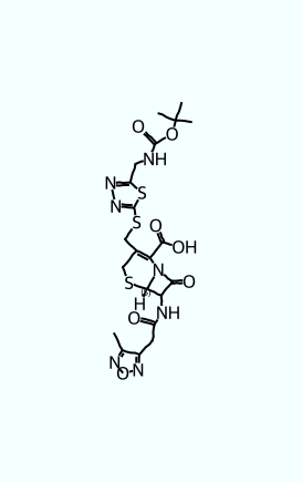 Cc1nonc1CC(=O)NC1C(=O)N2C(C(=O)O)=C(CSc3nnc(CNC(=O)OC(C)(C)C)s3)CS[C@@H]12